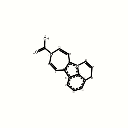 O=C(O)N1C=Cc2c(n3c4c(cccc24)CC=C3)C=C1